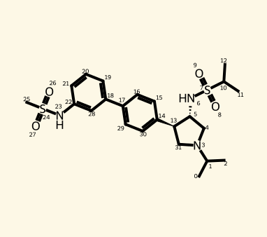 CC(C)N1C[C@@H](NS(=O)(=O)C(C)C)[C@H](c2ccc(-c3cccc(NS(C)(=O)=O)c3)cc2)C1